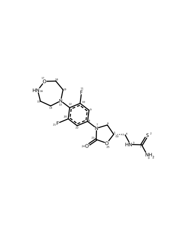 NC(=S)NC[C@H]1CN(c2cc(F)c(N3CCNOCC3)c(F)c2)C(=O)O1